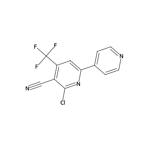 N#Cc1c(C(F)(F)F)cc(-c2ccncc2)nc1Cl